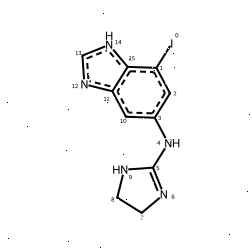 Ic1cc(NC2=NCCN2)cc2nc[nH]c12